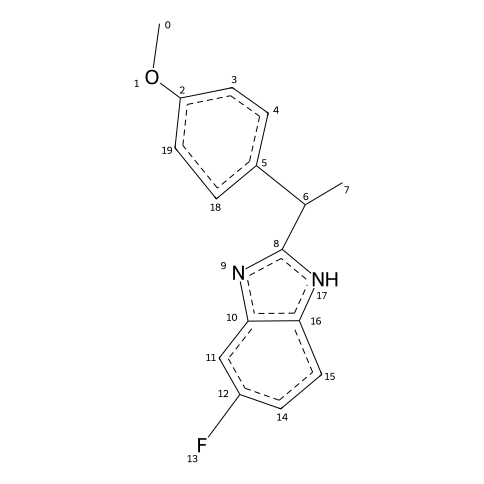 COc1ccc(C(C)c2nc3cc(F)ccc3[nH]2)cc1